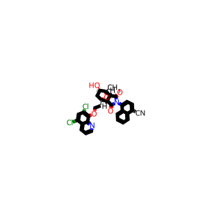 C[C@]12O[C@](CCOc3c(Cl)cc(Cl)c4cccnc34)(C[C@@H]1O)[C@H]1C(=O)N(c3ccc(C#N)c4ccccc34)C(=O)[C@H]12